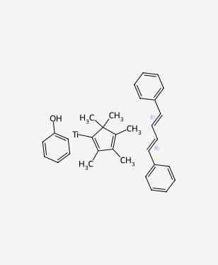 C(/C=C/c1ccccc1)=C\c1ccccc1.CC1=C(C)C(C)(C)[C]([Ti])=C1C.Oc1ccccc1